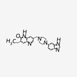 CCc1cc2ncc(CN3CCN(c4ccc5nc[nH]c5c4)CC3)cc2[nH]c1=O